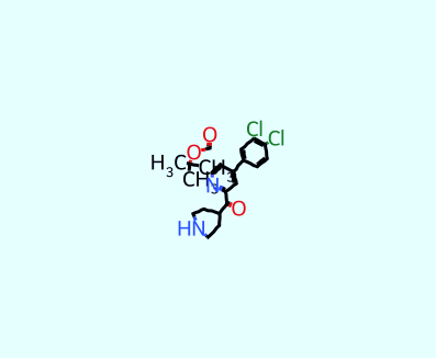 CC(C)(C)OC=O.O=C(c1cc(-c2ccc(Cl)c(Cl)c2)ccn1)C1CCNCC1